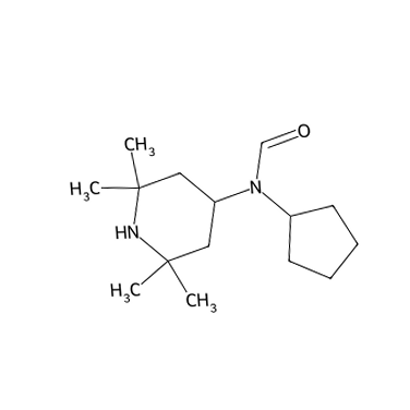 CC1(C)CC(N(C=O)C2CCCC2)CC(C)(C)N1